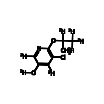 [2H]Oc1c([2H])nc(OC([2H])(C)C([2H])([2H])[2H])c(Cl)c1[2H]